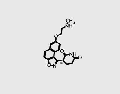 CNCCOc1ccc2c(ccc3onc([C@@H]4CCC(=O)NC4=O)c32)c1